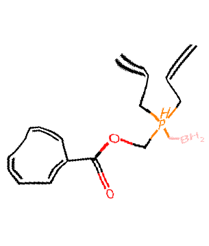 B[PH](CC=C)(CC=C)COC(=O)c1ccccc1